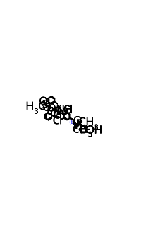 CC(/C=C/c1cc(Cl)c(C(=O)N[C@@H](Cc2cccc(S(C)(=O)=O)c2)C(=O)OCc2ccccc2)c(Cl)c1)P(C)(=O)c1cccc(O)c1